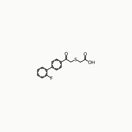 O=C(O)CSCC(=O)c1ccc(-c2ccccc2F)cc1